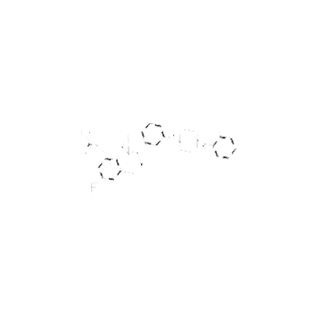 Cc1ccccc1N1CCN(c2cccc(C3Nc4c(cc(F)cc4OC(=O)O)CC3(C)C)c2)CC1